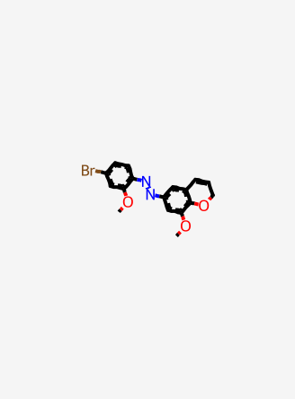 COc1cc(Br)ccc1N=Nc1cc2c(c(OC)c1)OCC=C2